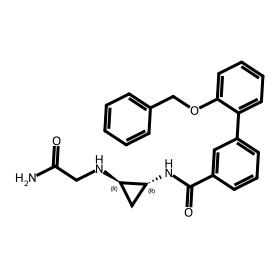 NC(=O)CN[C@@H]1C[C@H]1NC(=O)c1cccc(-c2ccccc2OCc2ccccc2)c1